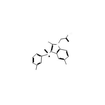 Cc1c(S(=O)(=O)c2cccc(Cl)c2)c2cc(F)ccc2n1CC(=O)O